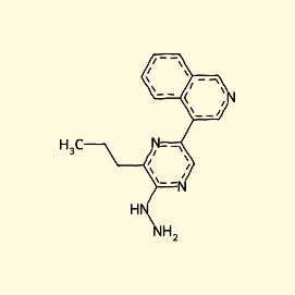 CCCc1nc(-c2cncc3ccccc23)cnc1NN